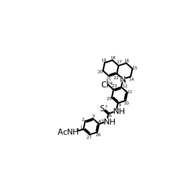 CC(=O)Nc1ccc(NC(=S)Nc2ccc(N3CCCC4CCCC=C43)c(Cl)c2)cc1